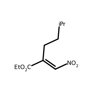 CCOC(=O)C(=C[N+](=O)[O-])CCC(C)C